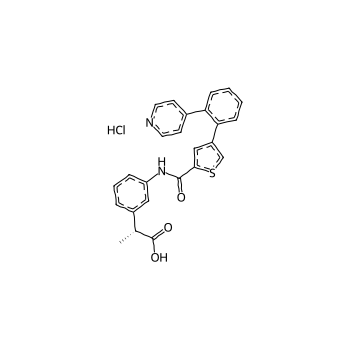 C[C@@H](C(=O)O)c1cccc(NC(=O)c2cc(-c3ccccc3-c3ccncc3)cs2)c1.Cl